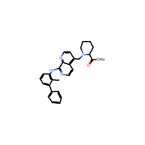 COC(=O)C1CCCCN1Cc1ccnc2c(Nc3cccc(-c4ccccc4)c3C)nccc12